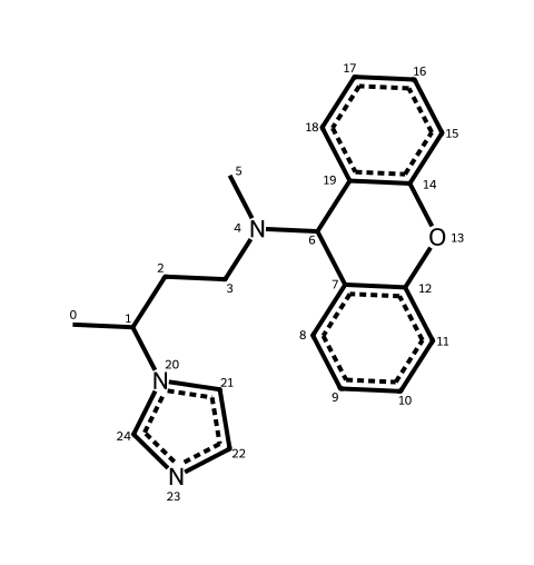 CC(CCN(C)C1c2ccccc2Oc2ccccc21)n1ccnc1